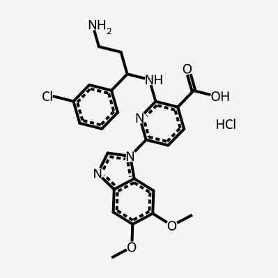 COc1cc2ncn(-c3ccc(C(=O)O)c(NC(CCN)c4cccc(Cl)c4)n3)c2cc1OC.Cl